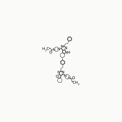 C=CC(=O)N1CCN(c2nc(CCc3ccccc3)nc3[nH]c4c(c23)CCC(c2ccc(CCc3nc(N5CCN(C(=O)C=C)CC5)c5c6c(oc5n3)CCCC6)cc2)C4)CC1